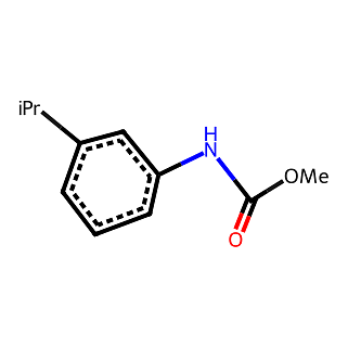 [CH2]OC(=O)Nc1cccc(C(C)C)c1